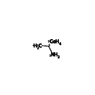 [CH2]CN.[GeH4]